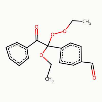 CCOOC(OCC)(C(=O)c1ccccc1)c1ccc(C=O)cc1